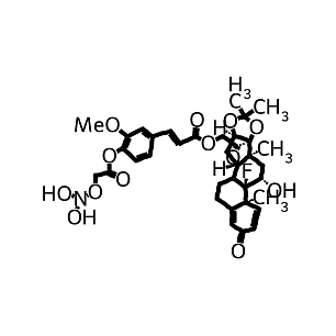 COc1cc(/C=C/C(=O)OCC(=O)[C@@]23OC(C)(C)O[C@@H]2C[C@H]2C4CCC5=CC(=O)C=C[C@]5(C)[C@@]4(F)[C@@H](O)C[C@@]23C)ccc1OC(=O)CON(O)O